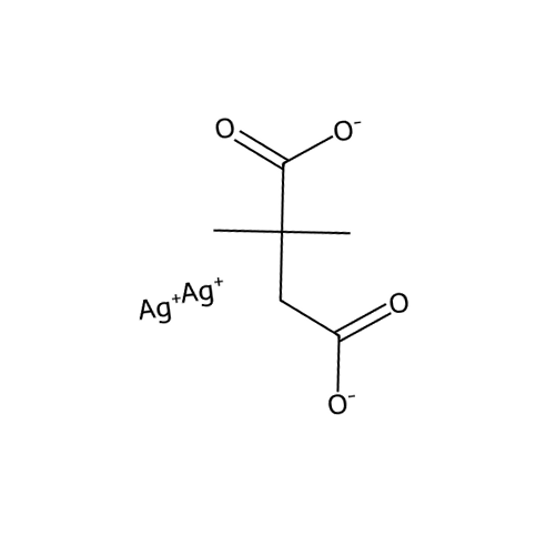 CC(C)(CC(=O)[O-])C(=O)[O-].[Ag+].[Ag+]